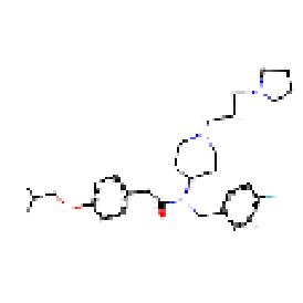 CC(C)COc1ccc(CC(=O)N(Cc2ccc(F)cc2)C2CCN(CCCN3CCCC3)CC2)cc1